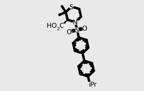 CC(C)c1ccc(-c2ccc(S(=O)(=O)N3CCSC(C)(C)[C@@H]3C(=O)O)cc2)cc1